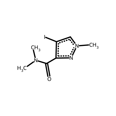 CN(C)C(=O)c1nn(C)cc1I